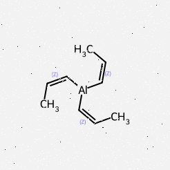 C/C=[CH]\[Al](/[CH]=C\C)/[CH]=C\C